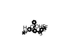 CC(C)(C)NC[C@H]1CCCN(c2ccc(-c3csc4cc(C(F)(F)F)ccc34)cc2C(=O)C(O)c2ccccc2)C1